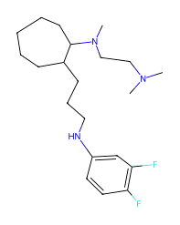 CN(C)CCN(C)C1CCCCCC1CCCNc1ccc(F)c(F)c1